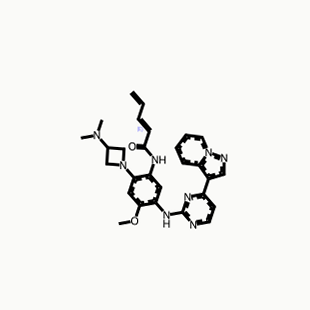 C=C/C=C/C(=O)Nc1cc(Nc2nccc(-c3cnn4ccccc34)n2)c(OC)cc1N1CC(N(C)C)C1